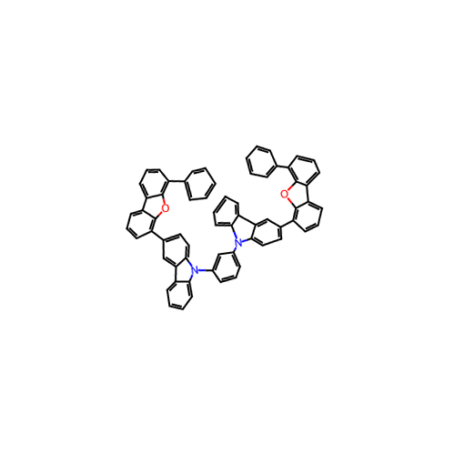 c1ccc(-c2cccc3c2oc2c(-c4ccc5c(c4)c4ccccc4n5-c4cccc(-n5c6ccccc6c6cc(-c7cccc8c7oc7c(-c9ccccc9)cccc78)ccc65)c4)cccc23)cc1